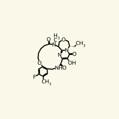 CC[C@H]1COCC2c3nc(c(O)c(=O)n31)C(=O)NCc1cc(C)c(F)cc1OCCCCC(=O)N2C